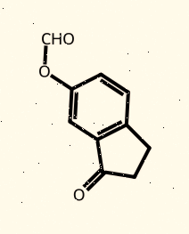 O=COc1ccc2c(c1)C(=O)CC2